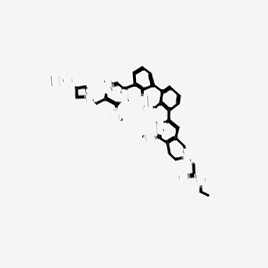 CCOC(=O)CN1CCc2c(cc(-c3cccc(-c4cccc(-c5cnc(CN6CC(O)C6)c(OC)n5)c4Cl)c3Cl)nc2OC)C1